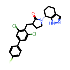 O=C1C(Cc2c(Cl)cc(-c3ccc(F)cc3)cc2Cl)CCN1[C@@H]1CCCc2cn[nH]c21